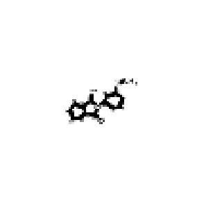 COc1cccc(N2C(=O)c3ccccc3C2=O)c1